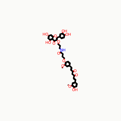 COc1cc(/C=C/C(=O)CC(=O)/C=C/c2ccc(OCCCC(=O)NCCCOc3c(-c4ccc(O)c(O)c4)oc4cc(O)cc(O)c4c3=O)c(OC)c2)ccc1O